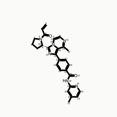 C=CC(=O)N1CCC[C@H]1c1nc(-c2ccc(C(=O)Nc3cc(C)ccn3)cc2)c2c(C)nccn12